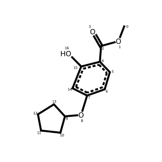 COC(=O)c1ccc(OC2CCCC2)cc1O